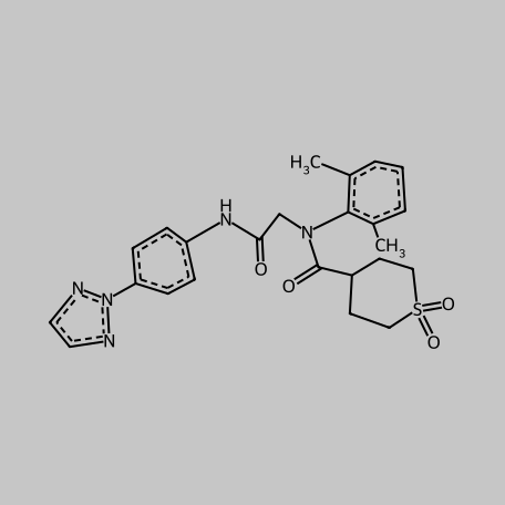 Cc1cccc(C)c1N(CC(=O)Nc1ccc(-n2nccn2)cc1)C(=O)C1CCS(=O)(=O)CC1